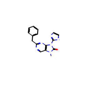 O=c1n(-c2ncc[nH]2)c2nc(Cc3ccccc3)ncc2n1C(F)(F)F